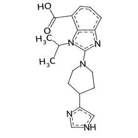 CC(C)n1c(N2CCC(c3c[nH]cn3)CC2)nc2cccc(C(=O)O)c21